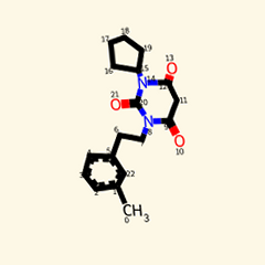 Cc1cccc(CCN2C(=O)CC(=O)N(C3CCCC3)C2=O)c1